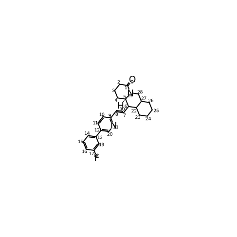 O=C1CCC[C@@H]2C(/C=C/c3ccc(-c4cccc(F)c4)cn3)C3CCCCC3CN12